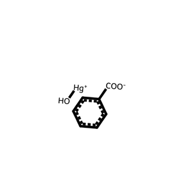 O=C([O-])c1ccccc1.[OH][Hg+]